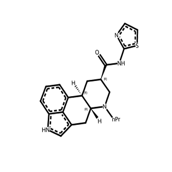 CCCN1C[C@H](C(=O)Nc2nccs2)C[C@@H]2c3cccc4[nH]cc(c34)C[C@H]21